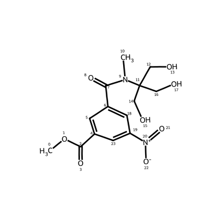 COC(=O)c1cc(C(=O)N(C)C(CO)(CO)CO)cc([N+](=O)[O-])c1